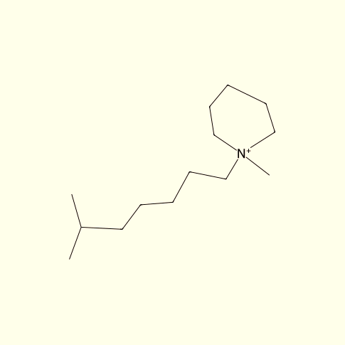 CC(C)CCCCC[N+]1(C)CCCCC1